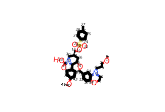 COCCCN1CCOc2ccc(CO[C@@H]3C[C@H](COS(=O)(=O)c4ccc(C)cc4)CN(C(=O)O)C3c3ccc(OC)cc3)cc21